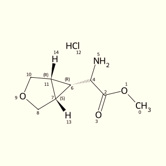 COC(=O)C(N)[C@@H]1[C@@H]2COC[C@@H]21.Cl